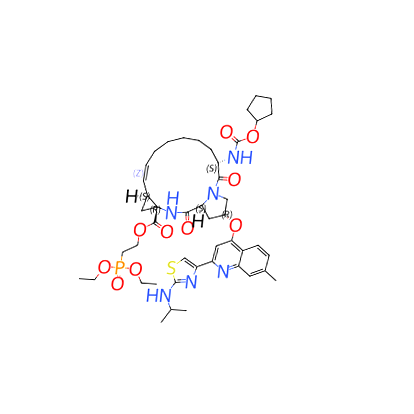 CCOP(=O)(CCOC(=O)[C@@]12C[C@H]1/C=C\CCCCC[C@H](NC(=O)OC1CCCC1)C(=O)N1C[C@H](Oc3cc(-c4csc(NC(C)C)n4)nc4cc(C)ccc34)C[C@H]1C(=O)N2)OCC